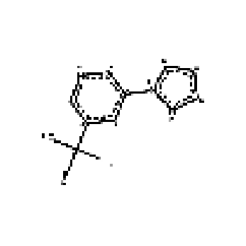 FC(F)(F)c1cncc(-n2cccn2)c1